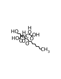 CC(O)C(=O)O.CCCCCCCC(=O)CC(=O)NC(CCO)C(=O)O